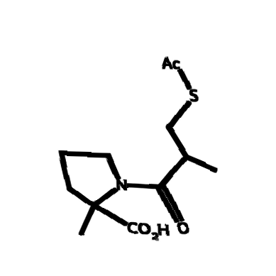 CC(=O)SCC(C)C(=O)N1CCCC1(C)C(=O)O